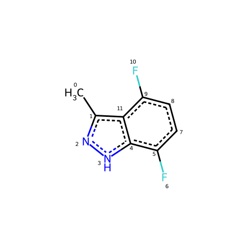 Cc1n[nH]c2c(F)ccc(F)c12